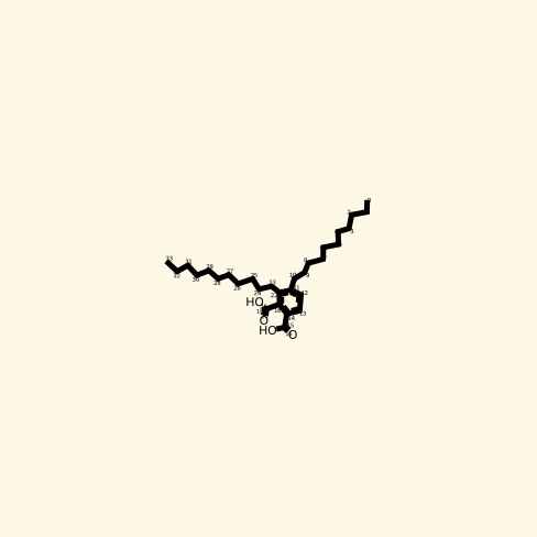 CCCCCCCCCCCc1ccc(C(=O)O)c(C(=O)O)c1CCCCCCCCCCC